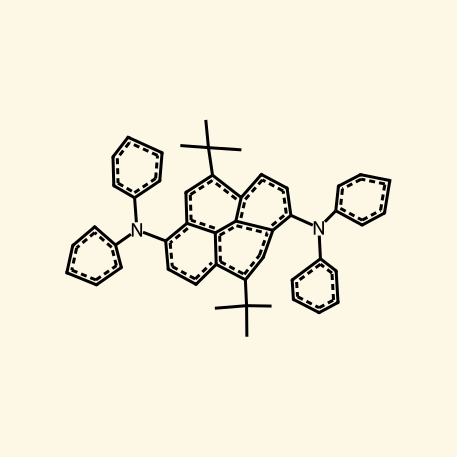 CC(C)(C)c1cc2c(N(c3ccccc3)c3ccccc3)ccc3c(C(C)(C)C)cc4c(N(c5ccccc5)c5ccccc5)ccc1c4c23